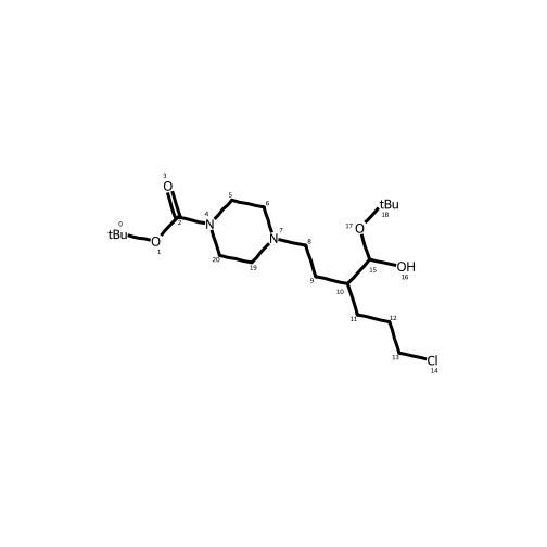 CC(C)(C)OC(=O)N1CCN(CCC(CCCCl)C(O)OC(C)(C)C)CC1